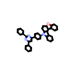 c1ccc(-c2cc(-c3ccc(-n4c5ccccc5c5c6c(ccc54)oc4ccccc46)cc3)nc(-c3ccccc3)n2)cc1